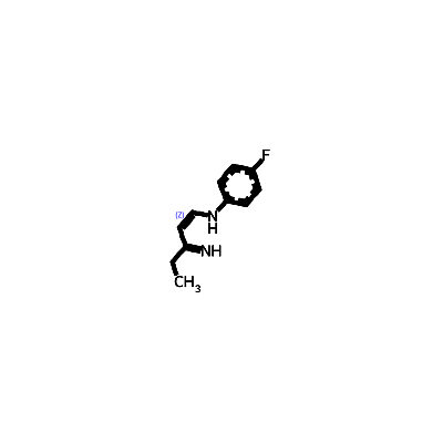 CCC(=N)/C=C\Nc1ccc(F)cc1